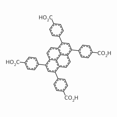 O=C(O)c1ccc(-c2cc(-c3ccc(C(=O)O)cc3)c3ccc4c(-c5ccc(C(=O)O)cc5)cc(-c5ccc(C(=O)O)cc5)c5ccc2c3c54)cc1